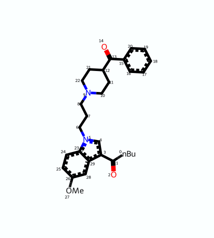 CCCCC(=O)c1cn(CCCN2CCC(C(=O)c3ccccc3)CC2)c2ccc(OC)cc12